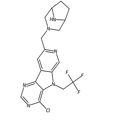 FC(F)(F)Cn1c2cnc(CN3CC4CCC(C3)N4)cc2c2ncnc(Cl)c21